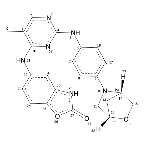 Cc1cnc(Nc2ccc(N3C[C@@H]4C[C@H]3CO4)nc2)nc1Nc1ccc2oc(=O)[nH]c2c1